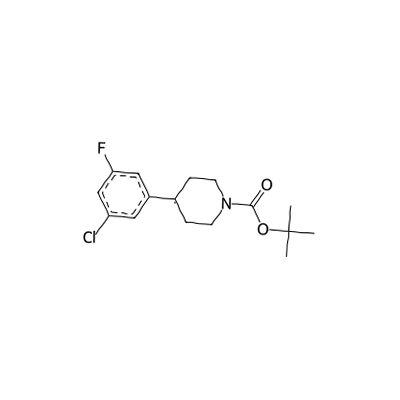 CC(C)(C)OC(=O)N1CC[C](c2cc(F)cc(Cl)c2)CC1